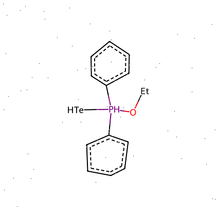 CCO[PH]([TeH])(c1ccccc1)c1ccccc1